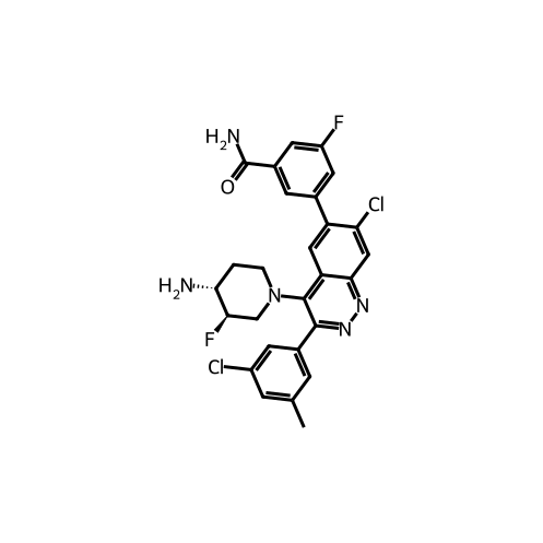 Cc1cc(Cl)cc(-c2nnc3cc(Cl)c(-c4cc(F)cc(C(N)=O)c4)cc3c2N2CC[C@@H](N)[C@H](F)C2)c1